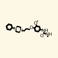 CNC(=O)Nc1ccc(OCCCN2CCN(c3ccccc3)CC2)c(OC)c1